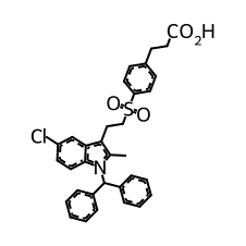 Cc1c(CCS(=O)(=O)c2ccc(CCC(=O)O)cc2)c2cc(Cl)ccc2n1C(c1ccccc1)c1ccccc1